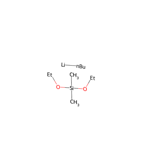 CCO[Si](C)(C)OCC.[Li][CH2]CCC